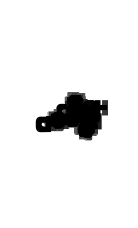 O=C(O)N1C(c2ccccc2Cl)C(OCc2ccc(Cl)cc2)C1c1ccccc1Cl